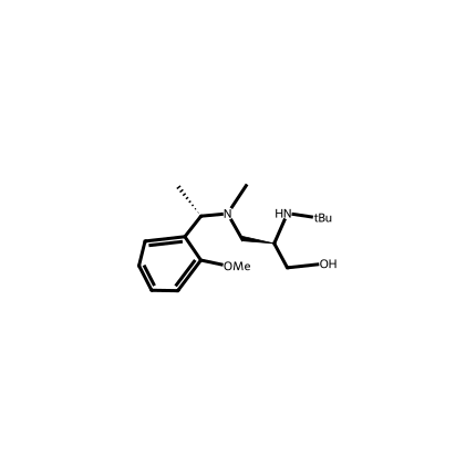 COc1ccccc1[C@H](C)N(C)C[C@H](CO)NC(C)(C)C